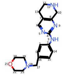 c1cc(Nc2ncc3c(n2)CNCC3)ccc1CN1CCOCC1